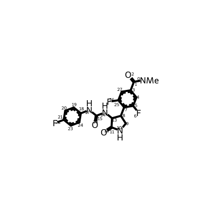 CNC(=O)c1cc(F)c(C2CNC(=O)C2NC(=O)Nc2ccc(F)cc2)c(F)c1